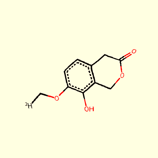 [2H]COc1ccc2c(c1O)COC(=O)C2